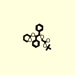 CC(C)(C)OC(=O)CO[C@H](c1ccccc1)[C@H](OC1CCCCO1)c1ccccc1